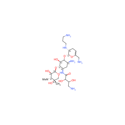 CN[C@@H]1[C@@H](O)[C@@H](O[C@H]2[C@H](NC(=O)C(O)C(O)CN)C[C@H](N)C(O[C@H]3OC(CN)=CC[C@H]3NCCCN)[C@@H]2O)OC[C@]1(C)O